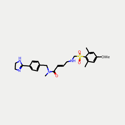 COc1cc(C)c(S(=O)(=O)CNCC=CC(=O)N(C)Cc2ccc(C3=NCCN3)cc2)c(C)c1